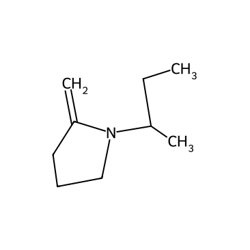 C=C1CCCN1C(C)CC